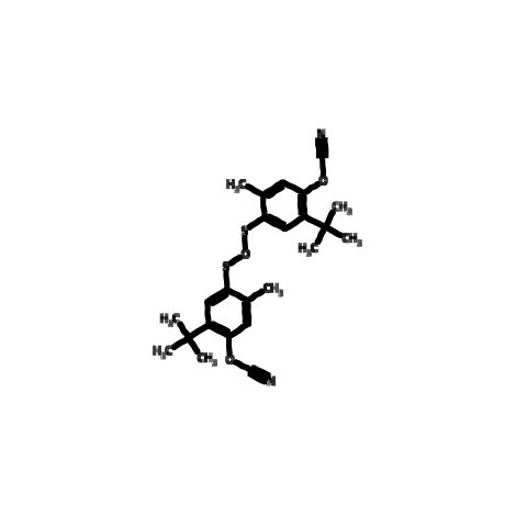 Cc1cc(OC#N)c(C(C)(C)C)cc1SOSc1cc(C(C)(C)C)c(OC#N)cc1C